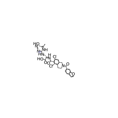 C[C@H](CO)N/C(=N\C#N)NC[C@H](NC(=O)c1c(Cl)cc2c(c1Cl)CCN(C(=O)c1ccc3ccoc3c1)C2)C(=O)O